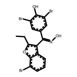 CCc1oc2c(Br)cccc2c1C(=NO)c1cc(Br)c(O)c(Br)c1